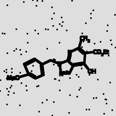 CCOC(=O)c1c(C)nc2c(cnn2Cc2ccc(OC)cc2)c1O